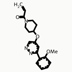 C=CC(=O)N1CCC(Oc2cnnc(-c3ccccc3OC)c2)CC1